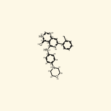 Cc1ccccc1-c1cc2nc[nH]c(=O)c2c(Nc2ccc(N3CCOCC3)cc2)n1